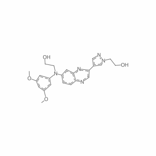 COc1cc(OC)cc(N(CCO)c2ccc3ncc(-c4cnn(CCO)c4)nc3c2)c1